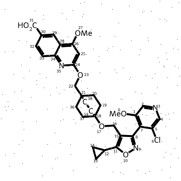 COc1cncc(Cl)c1-c1noc(C2CC2)c1COC12CCC(COc3cc(OC)c4cc(C(=O)O)ccc4n3)(CC1)CC2